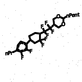 CCCCCC1OCC(C(F)(F)C(F)(F)C2CCC(c3ccc(CCC)c(F)c3F)CC2(F)F)CO1